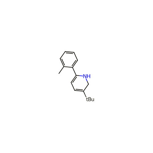 Cc1ccccc1C1=CC=C(C(C)(C)C)CN1